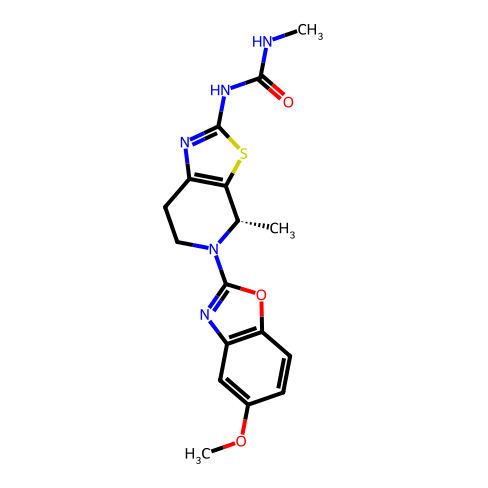 CNC(=O)Nc1nc2c(s1)[C@H](C)N(c1nc3cc(OC)ccc3o1)CC2